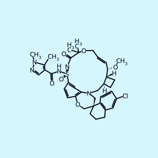 CO[C@H]1/C=C/COC(C)(C)C(=O)N=S(=O)(NC(=O)c2cnn(C)c2C)c2ccc3c(c2)N(C[C@@H]2CC[C@H]21)C[C@@]1(CCCc2cc(Cl)ccc21)CO3